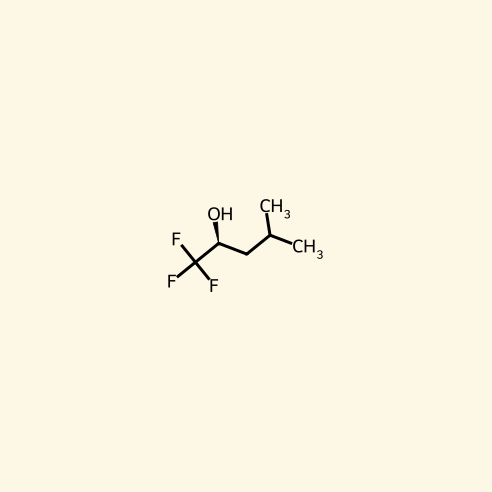 CC(C)C[C@H](O)C(F)(F)F